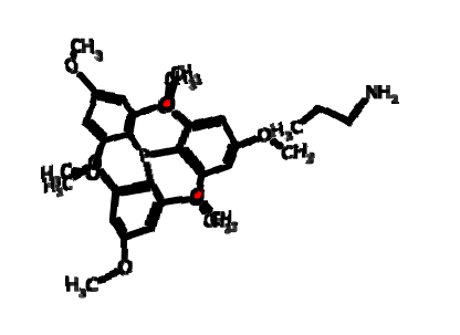 CCCN.COc1cc(OC)c(P(c2c(OC)cc(OC)cc2OC)c2c(OC)cc(OC)cc2OC)c(OC)c1